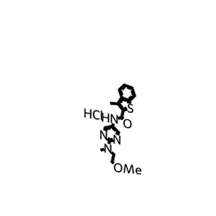 COCCN(C)c1ncc(NC(=O)c2sc3ccccc3c2C)cn1.Cl